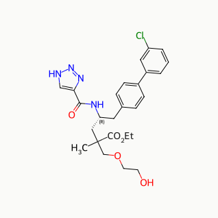 CCOC(=O)C(C)(COCCO)C[C@@H](Cc1ccc(-c2cccc(Cl)c2)cc1)NC(=O)c1c[nH]nn1